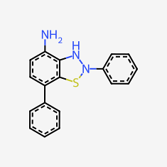 Nc1ccc(-c2ccccc2)c2c1NN(c1ccccc1)S2